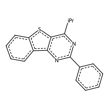 CC(C)c1nc(-c2ccccc2)nc2c1sc1ccccc12